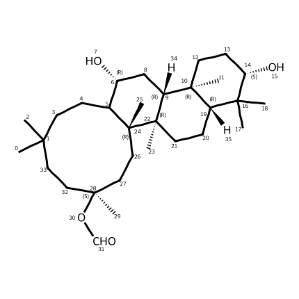 CC1(C)CCC2[C@H](O)C[C@@H]3[C@@]4(C)CC[C@H](O)C(C)(C)[C@@H]4CC[C@@]3(C)[C@]2(C)CC[C@@](C)(OC=O)CC1